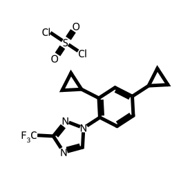 FC(F)(F)c1ncn(-c2ccc(C3CC3)cc2C2CC2)n1.O=S(=O)(Cl)Cl